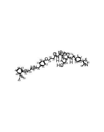 Cc1ncsc1-c1ccc([C@H](C)NC(=O)[C@@H]2C[C@@H](O)CN2C(=O)C(NC(=O)CCCOc2ccc(CNCCCNCc3ccccc3N(C)C)cc2)C(C)(C)C)cc1